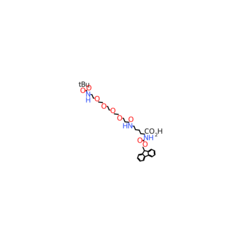 CC(C)(C)OC(=O)NCCOCCOCCOCCOCCC(=O)NCCCCC(NC(=O)OCC1c2ccccc2-c2ccccc21)C(=O)O